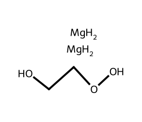 OCCOO.[MgH2].[MgH2]